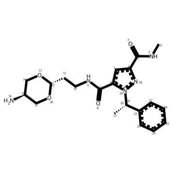 CNC(=O)c1cc(C(=O)NCC[C@H]2OC[C@H](N)CO2)n([C@@H](C)c2ccccc2)n1